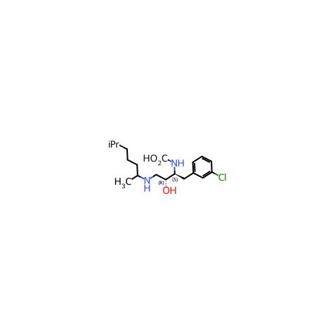 CC(C)CCCC(C)NC[C@@H](O)[C@H](Cc1cccc(Cl)c1)NC(=O)O